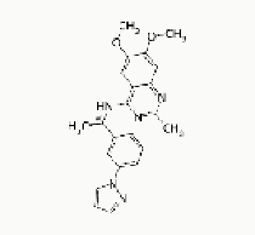 COc1cc2nc(C)nc(N[C@H](C)c3cccc(-n4cccn4)c3)c2cc1OC